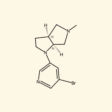 CN1C[C@@H]2CCN(c3cncc(Br)c3)[C@@H]2C1